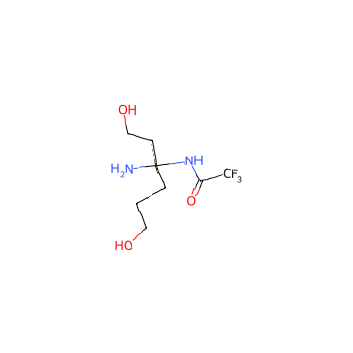 NC(CCO)(CCCO)NC(=O)C(F)(F)F